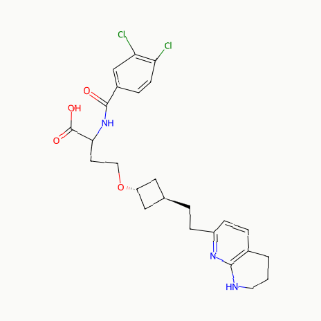 O=C(NC(CCO[C@H]1C[C@H](CCc2ccc3c(n2)NCCC3)C1)C(=O)O)c1ccc(Cl)c(Cl)c1